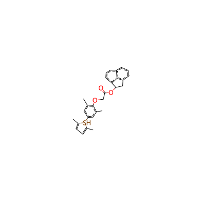 CC1=CC=C(C)[SH]1c1cc(C)c(OCC(=O)OC2Cc3cccc4cccc2c34)c(C)c1